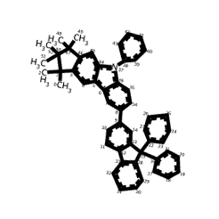 CC1(C)c2cc3c4cc(-c5ccc6c(c5)C(c5ccccc5)(c5ccccc5)c5ccccc5-6)ccc4n(-c4ccccc4)c3cc2C(C)(C)C1(C)C